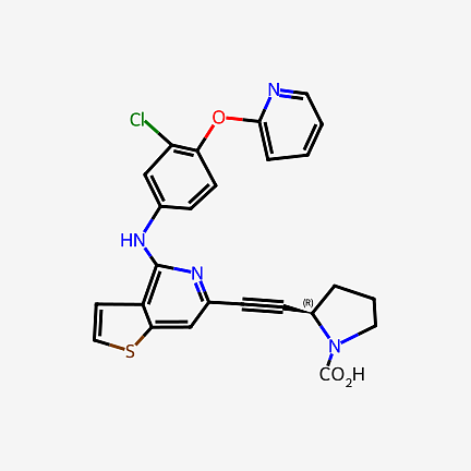 O=C(O)N1CCC[C@@H]1C#Cc1cc2sccc2c(Nc2ccc(Oc3ccccn3)c(Cl)c2)n1